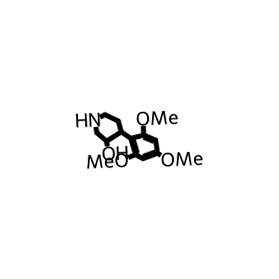 COc1cc(OC)c(C2CCNCC2O)c(OC)c1